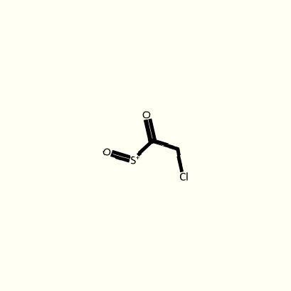 O=[S+]C(=O)CCl